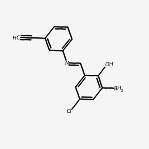 Bc1cc(Cl)cc(/C=N/c2cccc(C#C)c2)c1O